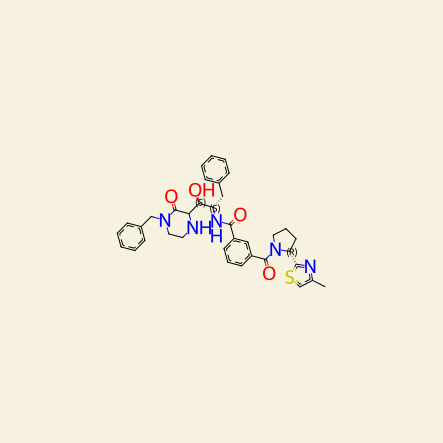 Cc1csc([C@H]2CCCN2C(=O)c2cccc(C(=O)N[C@@H](Cc3ccccc3)[C@H](O)C3NCCN(Cc4ccccc4)C3=O)c2)n1